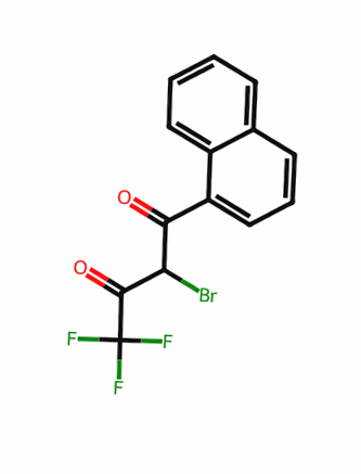 O=C(c1cccc2ccccc12)C(Br)C(=O)C(F)(F)F